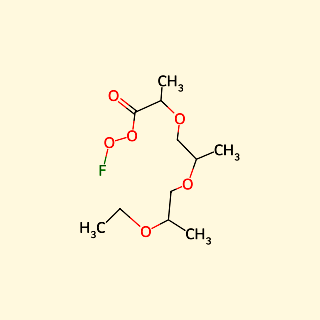 CCOC(C)COC(C)COC(C)C(=O)OOF